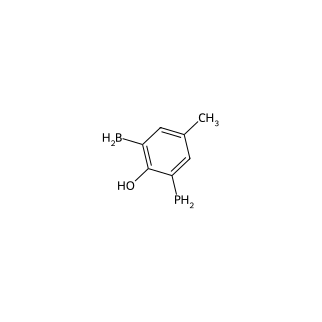 Bc1cc(C)cc(P)c1O